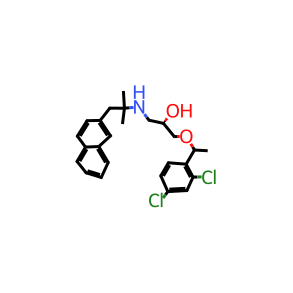 CC(OC[C@H](O)CNC(C)(C)Cc1ccc2ccccc2c1)c1ccc(Cl)cc1Cl